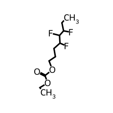 CCOC(=O)OCCCC(F)C(F)C(F)CC